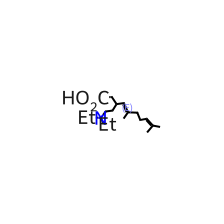 CCN(CC)CCC(/C=C(\C)CCC=C(C)C)CC(=O)O